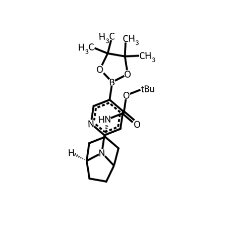 CC(C)(C)OC(=O)N[C@@H]1CC2CC[C@@H](C1)N2c1ccc(B2OC(C)(C)C(C)(C)O2)cn1